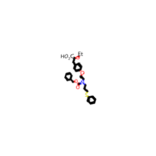 CCOC(Cc1ccc(OCCN(CCCSc2ccccc2)C(=O)OCc2ccccc2)cc1)C(=O)O